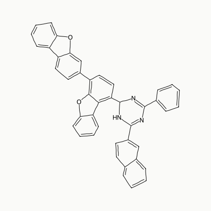 c1ccc(C2=NC(c3ccc(-c4ccc5c(c4)oc4ccccc45)c4oc5ccccc5c34)NC(c3ccc4ccccc4c3)=N2)cc1